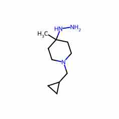 CC1(NN)CCN(CC2CC2)CC1